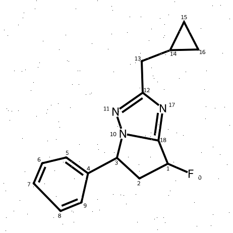 FC1CC(c2ccccc2)n2nc(CC3CC3)nc21